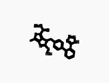 CCCCSc1nc2c(C)sc(C(=O)OC)c2n1Cc1ccc(-c2ccccc2-c2nnn[nH]2)cc1